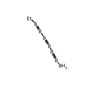 BB=BB=BB=BCC